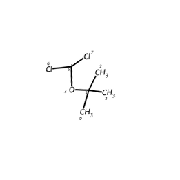 CC(C)(C)O[C](Cl)Cl